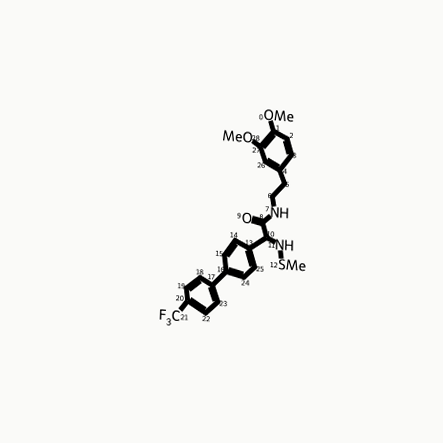 COc1ccc(CCNC(=O)C(NSC)c2ccc(-c3ccc(C(F)(F)F)cc3)cc2)cc1OC